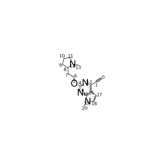 C#Cc1nc(OCCC2CCCN2C)nc2c1ccn2C